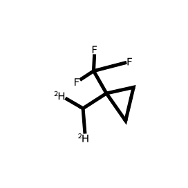 [2H][C]([2H])C1(C(F)(F)F)CC1